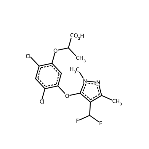 Cc1nn(C)c(Oc2cc(OC(C)C(=O)O)c(Cl)cc2Cl)c1C(F)F